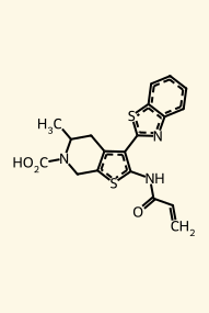 C=CC(=O)Nc1sc2c(c1-c1nc3ccccc3s1)CC(C)N(C(=O)O)C2